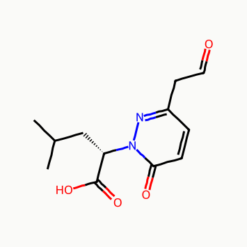 CC(C)C[C@@H](C(=O)O)n1nc(CC=O)ccc1=O